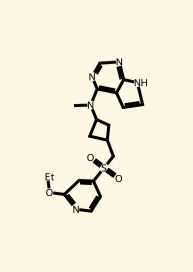 CCOc1cc(S(=O)(=O)CC2CC(N(C)c3ncnc4[nH]ccc34)C2)ccn1